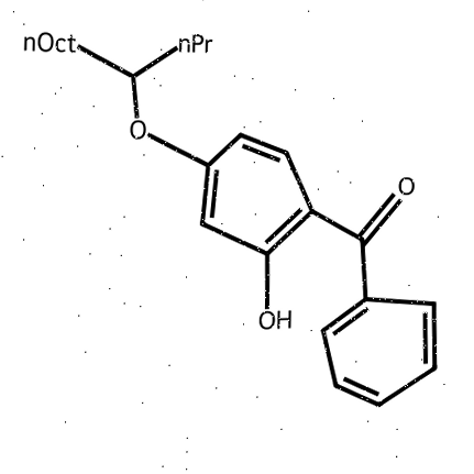 CCCCCCCCC(CCC)Oc1ccc(C(=O)c2ccccc2)c(O)c1